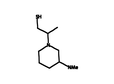 CNC1CCCN(C(C)CS)C1